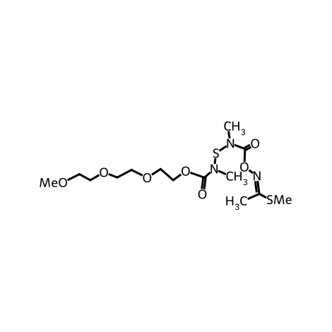 COCCOCCOCCOC(=O)N(C)SN(C)C(=O)ON=C(C)SC